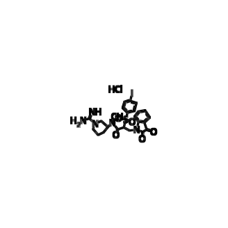 CN(C(=O)C(CN1C(=O)C(=O)c2ccccc21)S(=O)(=O)c1ccc(I)cc1)[C@H]1CCCN(C(=N)N)C1.Cl